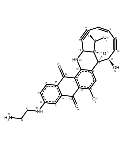 C[C@@H](O)[C@@]12O[C@]13c1cc(O)c4c(c1NC2C#C/C=C\C#C[C@H]3O)C(=O)c1ccc(NCCN)cc1C4=O